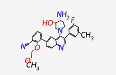 COCCOc1c(C#N)cccc1-c1ccc2ncc(-c3cc(C)cc(F)c3)c(N3CC[C@@H](N)C(O)C3)c2c1